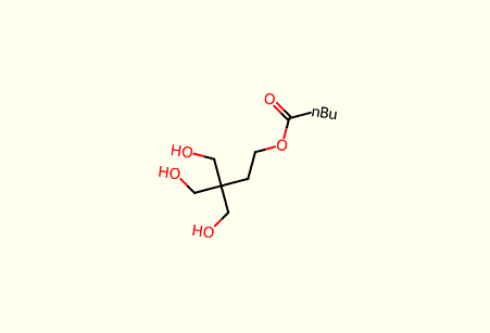 CCCCC(=O)OCCC(CO)(CO)CO